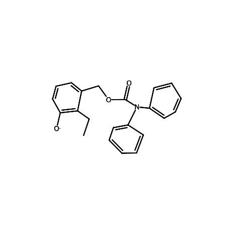 CCc1c([O])cccc1COC(=O)N(c1ccccc1)c1ccccc1